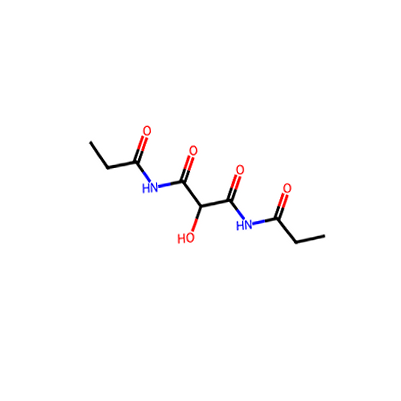 CCC(=O)NC(=O)C(O)C(=O)NC(=O)CC